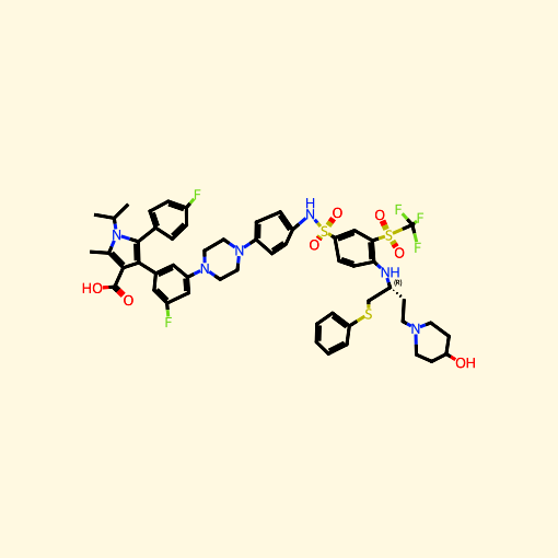 Cc1c(C(=O)O)c(-c2cc(F)cc(N3CCN(c4ccc(NS(=O)(=O)c5ccc(N[C@H](CCN6CCC(O)CC6)CSc6ccccc6)c(S(=O)(=O)C(F)(F)F)c5)cc4)CC3)c2)c(-c2ccc(F)cc2)n1C(C)C